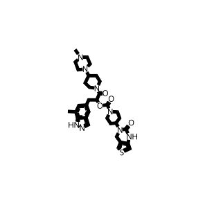 Cc1cc(CC(OC(=O)N2CCC(N3Cc4cscc4NC3=O)CC2)C(=O)N2CCC(N3CCN(C)CC3)CC2)cc2cn[nH]c12